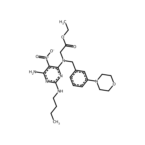 CCCCNc1nc(N)c([N+](=O)[O-])c(N(CC(=O)OCC)Cc2cccc(N3CCOCC3)c2)n1